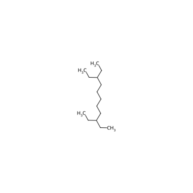 CCC(CC)CCCCCC(CC)CC